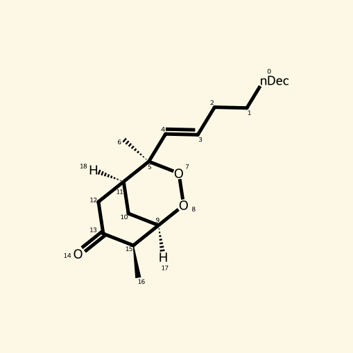 CCCCCCCCCCCCC=C[C@@]1(C)OO[C@@H]2C[C@H]1CC(=O)[C@@H]2C